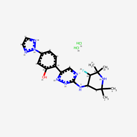 CC1(C)CC(Nc2ncc(-c3ccc(-n4nccn4)cc3O)nn2)C(F)C(C)(C)N1.Cl.Cl